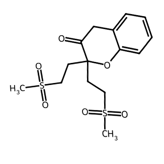 CS(=O)(=O)CCC1(CCS(C)(=O)=O)Oc2ccccc2CC1=O